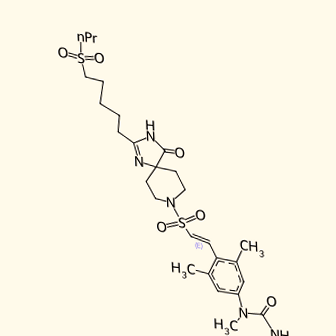 CCCS(=O)(=O)CCCCCC1=NC2(CCN(S(=O)(=O)/C=C/c3c(C)cc(N(C)C(N)=O)cc3C)CC2)C(=O)N1